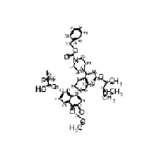 COCOc1cc(N2CCc3c(nc(OC(C)CN(C)C)nc3N3CCN(C(=O)OCc4ccccc4)CC3)C2)c2ccccc2c1Cl.O=C(O)C(F)(F)F